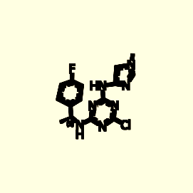 C[C@H](Nc1nc(Cl)nc(Nc2cn(C)cn2)n1)c1ccc(F)cc1